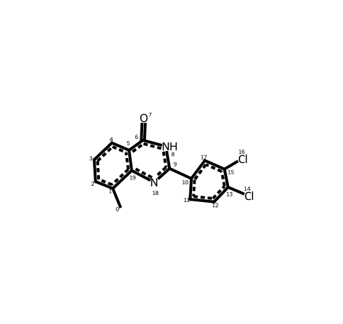 Cc1cccc2c(=O)[nH]c(-c3ccc(Cl)c(Cl)c3)nc12